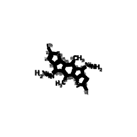 Cc1c2/c(=N/N)c3cc(I)sc3c2c(C)c2/c(=N/N)c3cc(I)sc3c12